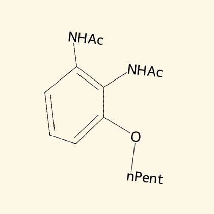 CCCCCOc1cccc(NC(C)=O)c1NC(C)=O